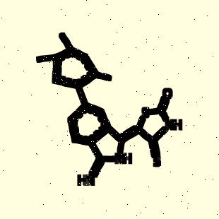 Cc1cc(C)c(-c2ccc3c(c2)C(=C2SC(=O)NC2=S)NC3=N)cc1C